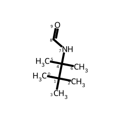 CC(C)(C)C(C)(C)NC=O